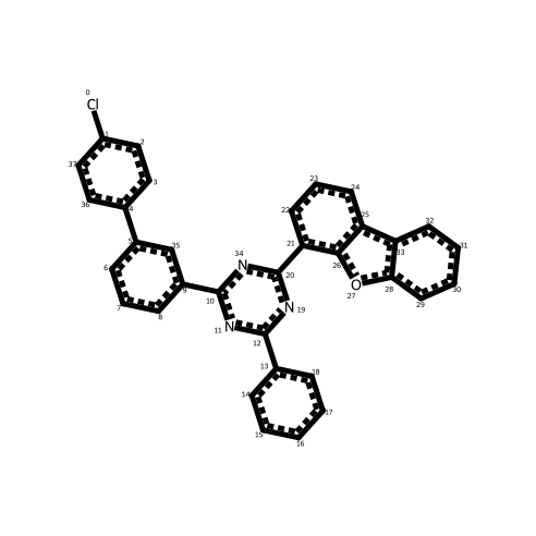 Clc1ccc(-c2cccc(-c3nc(-c4ccccc4)nc(-c4cccc5c4oc4ccccc45)n3)c2)cc1